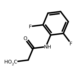 O=C(O)CC(=O)Nc1c(F)cccc1F